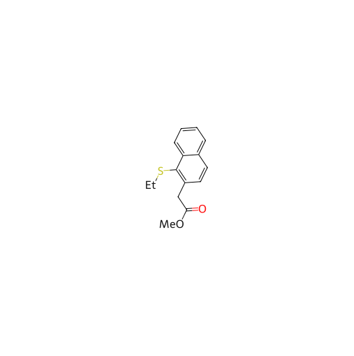 CCSc1c(CC(=O)OC)ccc2ccccc12